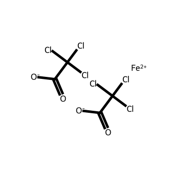 O=C([O-])C(Cl)(Cl)Cl.O=C([O-])C(Cl)(Cl)Cl.[Fe+2]